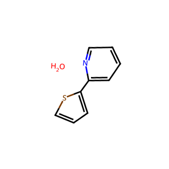 O.c1ccc(-c2cccs2)nc1